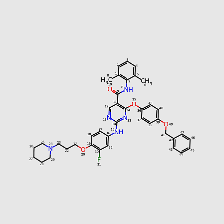 Cc1cccc(C)c1NC(=O)c1cnc(Nc2ccc(OCCCN3CCCCC3)c(F)c2)nc1Oc1ccc(OCc2ccccc2)cc1